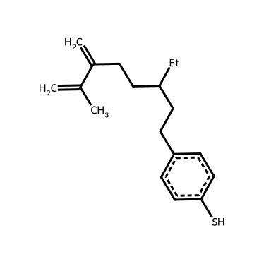 C=C(C)C(=C)CCC(CC)CCc1ccc(S)cc1